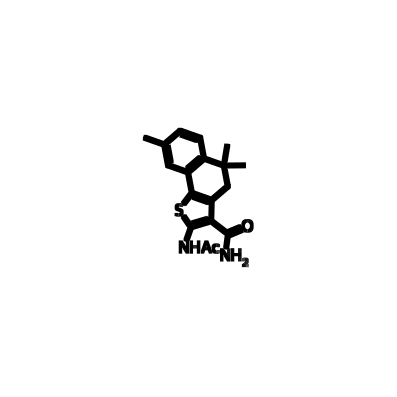 CC(=O)Nc1sc2c(c1C(N)=O)CC(C)(C)c1ccc(C)cc1-2